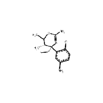 CC1OC(N)=N[C@@](CF)(c2cc(N)ccc2Cl)[C@@H]1C